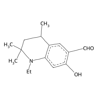 CCN1c2cc(O)c(C=O)cc2C(C)CC1(C)C